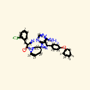 N#CC(=Cc1ccccc1Cl)C(=O)N1CCCC(n2nc(-c3ccc(Oc4ccccc4)cc3)c3c(N)ncnc32)C1